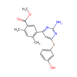 COC(=O)c1cc(-c2cc(Sc3cccc(O)c3)nc(N)n2)c(C)cc1C